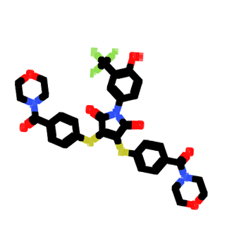 O=C(c1ccc(SC2=C(Sc3ccc(C(=O)N4CCOCC4)cc3)C(=O)N(c3ccc(O)c(C(F)(F)F)c3)C2=O)cc1)N1CCOCC1